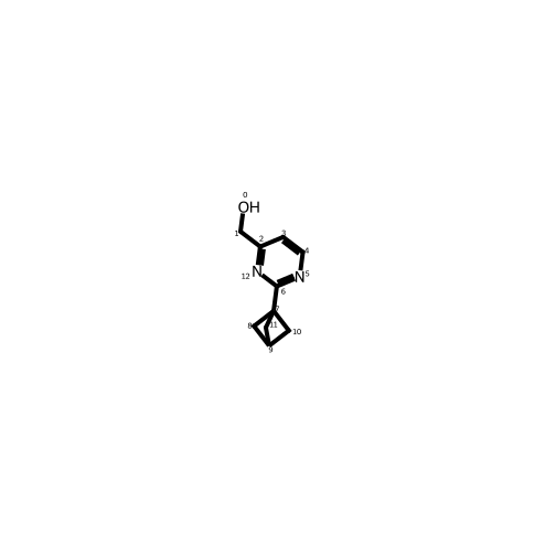 OCc1ccnc(C23CC(C2)C3)n1